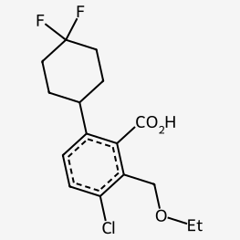 CCOCc1c(Cl)ccc(C2CCC(F)(F)CC2)c1C(=O)O